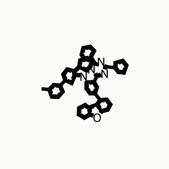 Cc1cccc(-c2ccc3c4ccccc4n(-c4ccc(-c5cccc6oc7ccccc7c56)cc4-c4nc(-c5ccccc5)nc(-c5ccccc5)n4)c3c2)c1